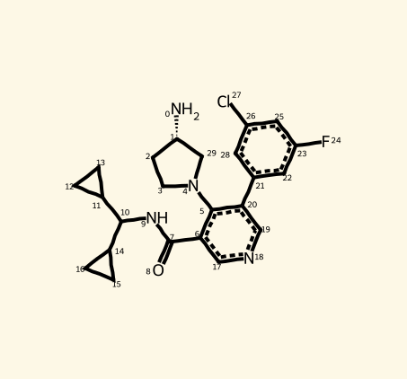 N[C@H]1CCN(c2c(C(=O)NC(C3CC3)C3CC3)cncc2-c2cc(F)cc(Cl)c2)C1